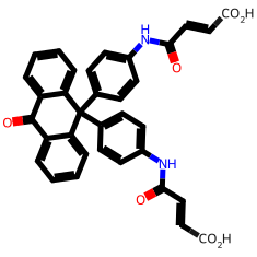 O=C(O)/C=C/C(=O)Nc1ccc(C2(c3ccc(NC(=O)/C=C/C(=O)O)cc3)c3ccccc3C(=O)c3ccccc32)cc1